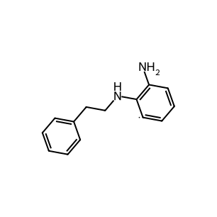 Nc1ccc[c]c1NCCc1ccccc1